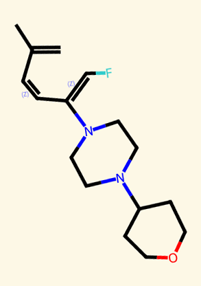 C=C(C)/C=C\C(=C\F)N1CCN(C2CCOCC2)CC1